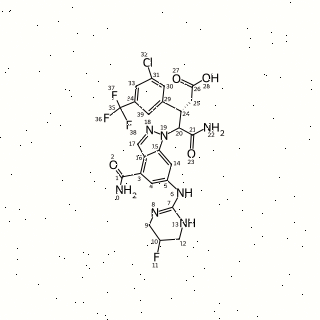 NC(=O)c1cc(NC2=NCC(F)CN2)cc2c1cnn2C(C(N)=O)[C@@H](CC(=O)O)c1cc(Cl)cc(C(F)(F)F)c1